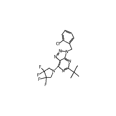 CC(C)(C)c1nc(N2CC(F)(F)C(F)(F)C2)c2nnn(Cc3ccccc3Cl)c2n1